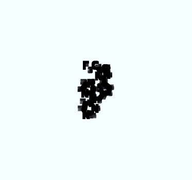 FC(F)(F)c1nc(-c2ccc(CN(c3ccncn3)c3cnccn3)s2)no1